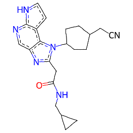 N#CCC1CCC(n2c(CC(=O)NCC3CC3)nc3cnc4[nH]ccc4c32)CC1